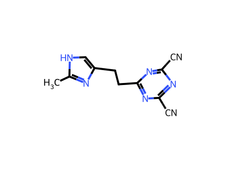 Cc1nc(CCc2nc(C#N)nc(C#N)n2)c[nH]1